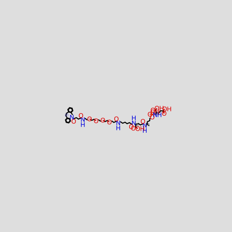 C[C@H](CCCOP(=O)(O)N[C@@H](CCC(=O)O)C(=O)O)NC(=O)CC[C@H](NC(=O)CCCCCNC(=O)CCOCCOCCOCCOCCNC(=O)CCC(=O)N1Cc2ccccc2/C=C\c2ccccc21)C(=O)O